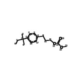 CCC(C)(C)c1ccc(CCCOC(=O)OC)cc1